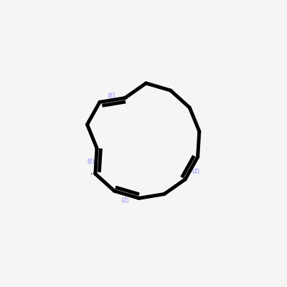 [C]1=C/C/C=C/CCCC/C=C\C\C=C/1